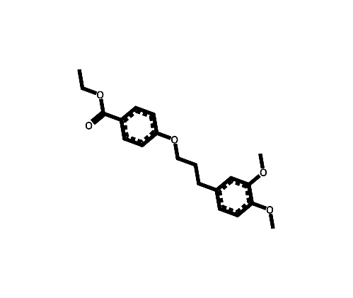 CCOC(=O)c1ccc(OCCCc2ccc(OC)c(OC)c2)cc1